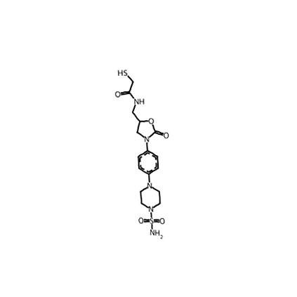 NS(=O)(=O)N1CCN(c2ccc(N3CC(CNC(=O)CS)OC3=O)cc2)CC1